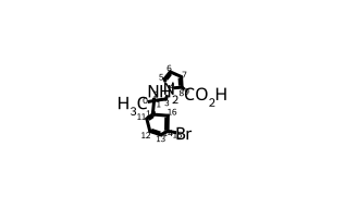 CC(N)(Cn1cccc1C(=O)O)c1cccc(Br)c1